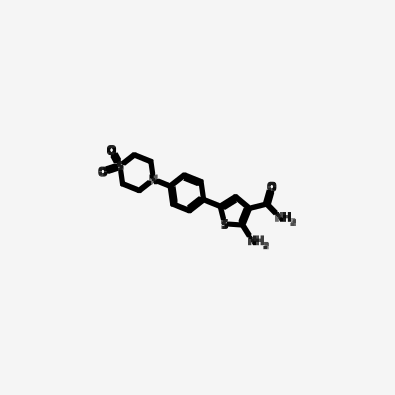 NC(=O)c1cc(-c2ccc(N3CCS(=O)(=O)CC3)cc2)sc1N